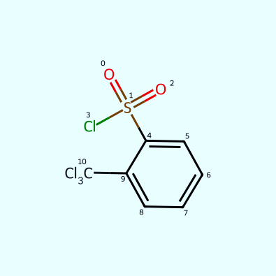 O=S(=O)(Cl)c1ccccc1C(Cl)(Cl)Cl